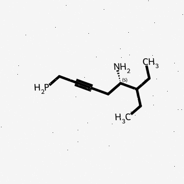 CCC(CC)[C@@H](N)CC#CCP